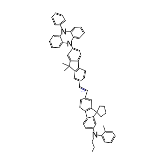 CCCN(c1ccc2c(c1)C1(CCCC1)c1cc(/C=C/c3ccc4c(c3)C(C)(C)c3cc(N5c6ccccc6N(c6ccccc6)c6ccccc65)ccc3-4)ccc1-2)c1ccccc1C